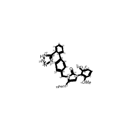 CCCCCc1cn(-c2c(OC)cccc2C(=O)O)c(=O)n1Cc1ccc(-c2ccccc2-c2nnn[nH]2)cc1